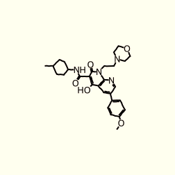 COc1ccc(-c2cnc3c(c2)c(O)c(C(=O)NC2CCC(C)CC2)c(=O)n3CCN2CCOCC2)cc1